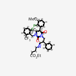 CCOC(=O)CCC/N=C/C(Cn1c(=O)c(-c2cccc(OC)c2F)c(C)n(Cc2c(F)cccc2C(F)(F)F)c1=O)c1ccccc1